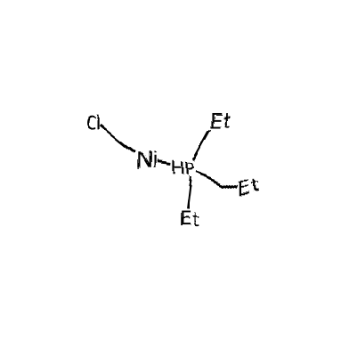 CC[PH](CC)(CC)[Ni][Cl]